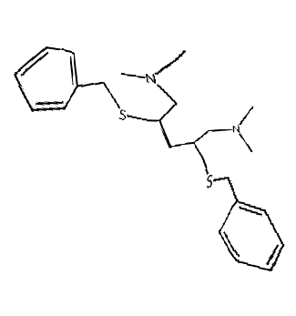 CN(C)CC(CC(CN(C)C)SCc1ccccc1)SCc1ccccc1